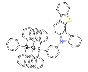 c1ccc([Si](c2ccccc2)(c2ccccc2)[Si](c2ccccc2)(c2ccccc2)[Si](c2ccccc2)(c2ccccc2)c2cccc(-n3c4ccccc4c4c5sc6ccccc6c5ccc43)c2)cc1